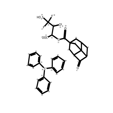 O=C1C2CC3CC1CC(C(=O)OC(C(=O)[O-])C(C(F)(F)F)C(F)(F)S(=O)(=O)O)(C3)C2.c1ccc([S+](c2ccccc2)c2ccccc2)cc1